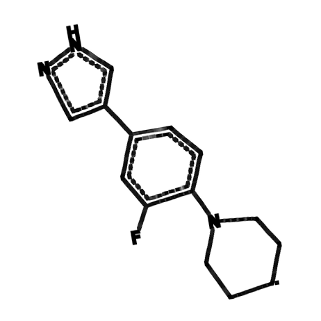 Fc1cc(-c2cn[nH]c2)ccc1N1CC[CH]CC1